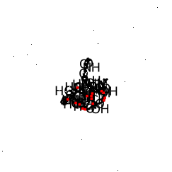 CN[C@H](CC(C)C)C(=O)N[C@H]1C(=O)N[C@@H](CC(=O)NC(=O)Nc2ccc(OCCNC(=O)OC(C)(C)C)cc2)C(=O)N[C@H]2C(=O)N[C@H]3C(=O)N[C@H](C(=O)N[C@H](C(=O)NC4C5CC6CC(C5)CC4C6)c4cc(O)cc(O)c4-c4cc3ccc4O)[C@H](O)c3ccc(c(Cl)c3)Oc3cc2cc(c3O)Oc2ccc(cc2Cl)[C@H]1O